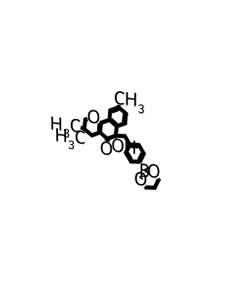 Cc1ccc2c(c1)C1=C(CC(C)(C)CO1)C(=O)C2(O)Cc1ccc(B2OCCCO2)cc1